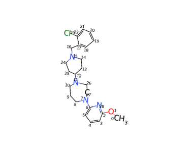 COc1cccc(N2CCCN(C3CCN(Cc4ccccc4Cl)CC3)CC2)n1